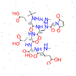 CN[C@@H](CCC(=O)O)C(=O)N[C@@H](NC(=O)[C@H](CCC(=O)O)NC(=O)[C@H](CNC(=O)[C@H](CN)N1C(=O)C=CC1=O)NC(=O)[C@H](CCC(=O)O)NC(C)(C)C)C(=O)O